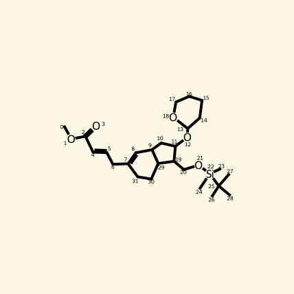 COC(=O)C=CCC1=CC2CC(OC3CCCCO3)C(CO[Si](C)(C)C(C)(C)C)C2CC1